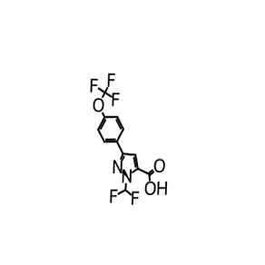 O=C(O)c1cc(-c2ccc(OC(F)(F)F)cc2)nn1C(F)F